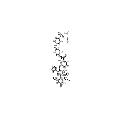 CCCN(CCC)C(=O)c1ccc(Oc2ccc(N3CC4CN(CC5=C(C(=O)OC)C(c6ccc(F)cc6Cl)N=C(c6nccs6)N5)CCN4C3=O)cc2)cc1